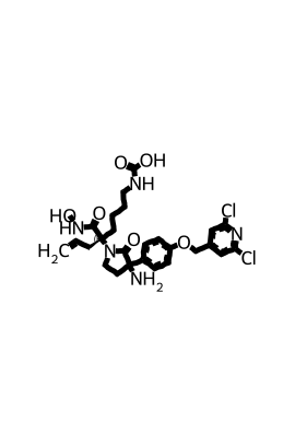 C=CC[C@](CCCCNC(=O)O)(C(=O)NO)N1CCC(N)(c2ccc(OCc3cc(Cl)nc(Cl)c3)cc2)C1=O